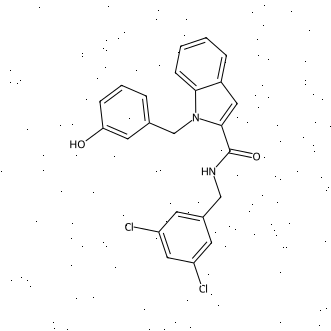 O=C(NCc1cc(Cl)cc(Cl)c1)c1cc2ccccc2n1Cc1cccc(O)c1